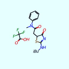 CCC(C)NC1=NC(=O)C(CC(=O)N(C)c2ccccc2)S1.O=C(O)C(F)(F)F